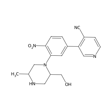 CC1CN(c2cc(-c3cnccc3C#N)ccc2[N+](=O)[O-])C(CO)CN1